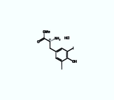 COC(=O)[C@H](N)Cc1cc(I)c(O)c(I)c1.Cl